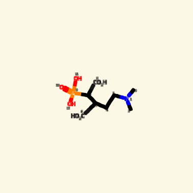 CN(C)CCC(C(=O)O)C(C(=O)O)P(=O)(O)O